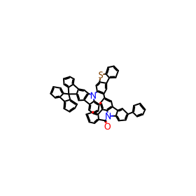 O=c1c2ccccc2c2cc(-c3cc4c(cc3-n3c5ccccc5c5cc6c(cc53)-c3ccccc3C63c5ccccc5-c5ccccc53)sc3ccccc34)cc3c4cc(-c5ccccc5)ccc4n1c23